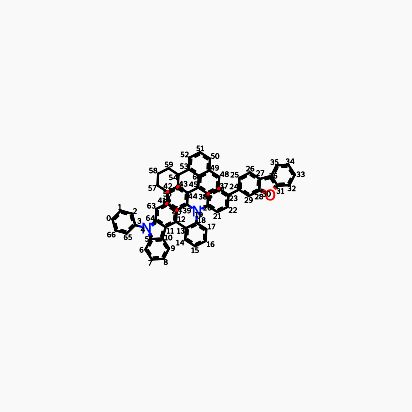 c1ccc(-n2c3ccccc3c3c(-c4ccccc4N(c4ccc(-c5ccc6c(c5)oc5ccccc56)cc4)c4ccccc4-c4cccc5cccc(C6CCCCC6)c45)cccc32)cc1